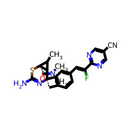 CC1C2[C@@]1(C(=O)N(C)C)SC(N)=N[C@@]21Cc2ccc(/C=C(\F)c3ncc(C#N)cn3)cc21